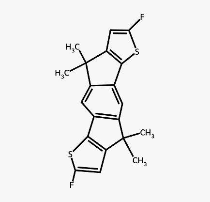 CC1(C)c2cc3c(cc2-c2sc(F)cc21)C(C)(C)c1cc(F)sc1-3